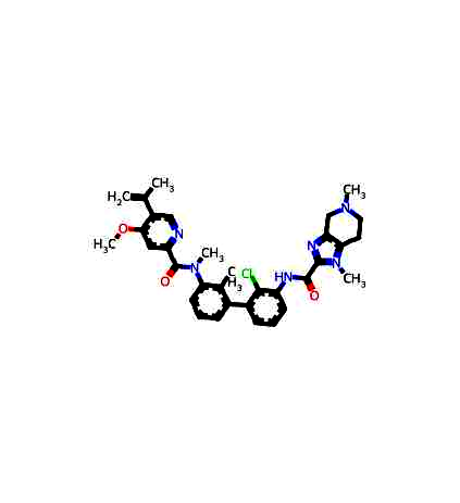 C=C(C)c1cnc(C(=O)N(C)c2cccc(-c3cccc(NC(=O)c4nc5c(n4C)CCN(C)C5)c3Cl)c2C)cc1OC